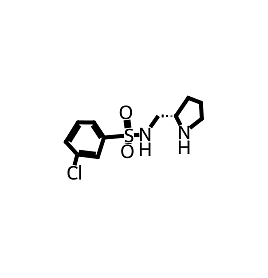 O=S(=O)(NC[C@@H]1CCCN1)c1cccc(Cl)c1